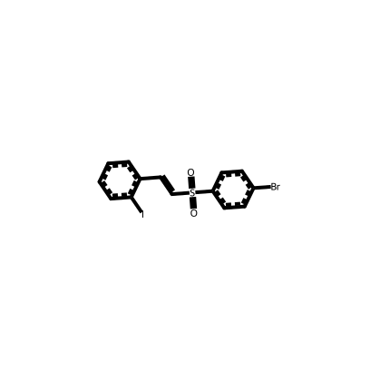 O=S(=O)(C=Cc1ccccc1I)c1ccc(Br)cc1